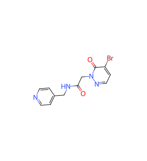 O=C(Cn1nccc(Br)c1=O)NCc1ccncc1